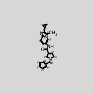 Cc1c(C2CC2)nc2ccc(NC(=O)C3CCN(Cc4ccccc4)C3)cn12